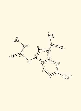 CCOC(=O)c1ccc2c(c1)c(C(N)=O)nn2CC(=O)OC(C)(C)C